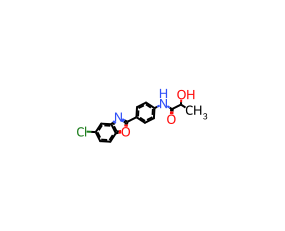 CC(O)C(=O)Nc1ccc(-c2nc3cc(Cl)ccc3o2)cc1